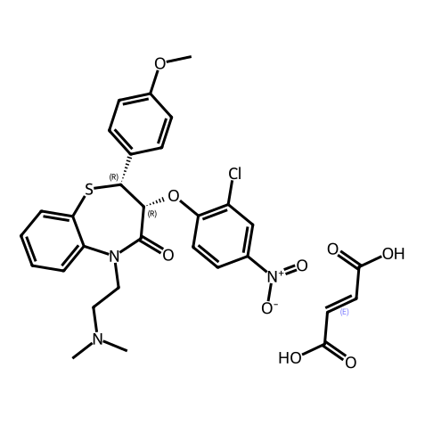 COc1ccc([C@H]2Sc3ccccc3N(CCN(C)C)C(=O)[C@H]2Oc2ccc([N+](=O)[O-])cc2Cl)cc1.O=C(O)/C=C/C(=O)O